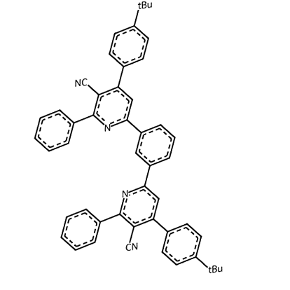 CC(C)(C)c1ccc(-c2cc(-c3cccc(-c4cc(-c5ccc(C(C)(C)C)cc5)c(C#N)c(-c5ccccc5)n4)c3)nc(-c3ccccc3)c2C#N)cc1